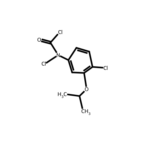 CC(C)Oc1cc(N(Cl)C(=O)Cl)ccc1Cl